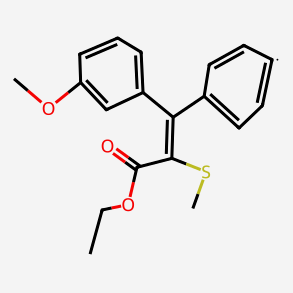 CCOC(=O)C(SC)=C(c1cc[c]cc1)c1cccc(OC)c1